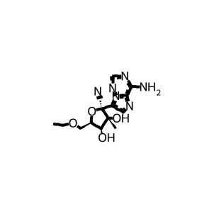 CCOC[C@H]1O[C@@](C#N)(c2cnc3c(N)ncnn23)[C@](C)(O)[C@@H]1O